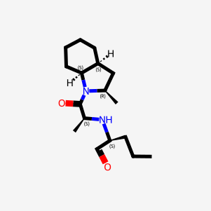 CCC[C@@H](C=O)N[C@@H](C)C(=O)N1[C@H](C)C[C@@H]2CCCC[C@@H]21